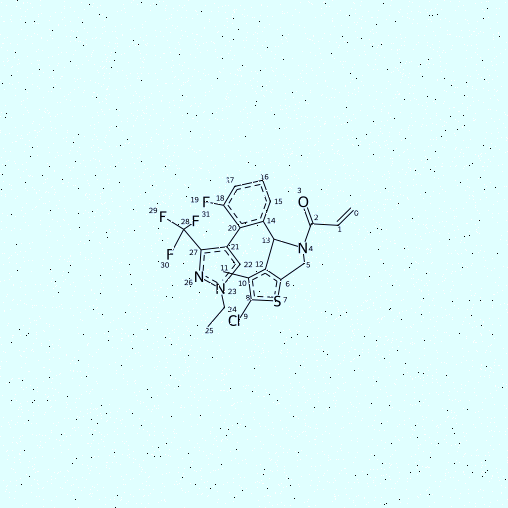 C=CC(=O)N1Cc2sc(Cl)c(C)c2C1c1cccc(F)c1-c1cn(CC)nc1C(F)(F)F